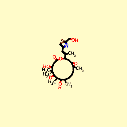 C/C(=C\c1csc(CO)n1)C1CC2OC2(C)CCCC(C)C(O)C(C)C(=O)C(C)(C)C(O)CC(=O)O1